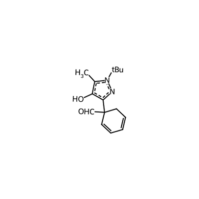 Cc1c(O)c(C2(C=O)C=CC=CC2)nn1C(C)(C)C